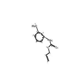 C=CCOC(=O)Nc1c[c]cc(OC)c1